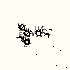 CC(C)N(CCF)[C@H]1CC[C@H](CNc2nc(N3CCOCC3)cc(-n3c(C(F)F)nc4ccccc43)n2)CC1